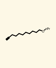 C#CCCCCCCCCCOCCC